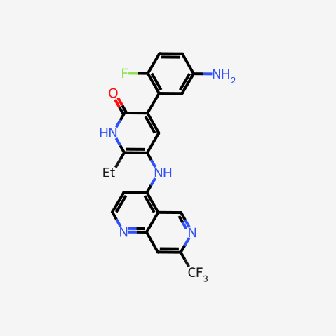 CCc1[nH]c(=O)c(-c2cc(N)ccc2F)cc1Nc1ccnc2cc(C(F)(F)F)ncc12